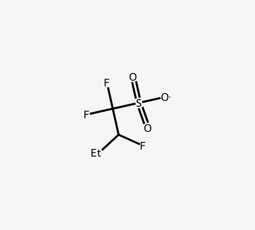 CCC(F)C(F)(F)S([O])(=O)=O